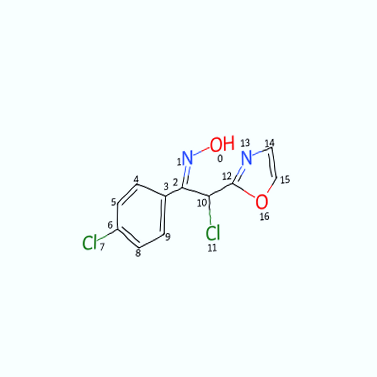 ON=C(c1ccc(Cl)cc1)C(Cl)c1ncco1